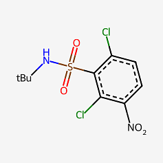 CC(C)(C)NS(=O)(=O)c1c(Cl)ccc([N+](=O)[O-])c1Cl